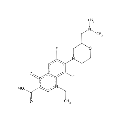 CCn1cc(C(=O)O)c(=O)c2cc(F)c(N3CCOC(CN(C)C)C3)c(F)c21